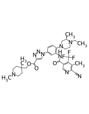 CCN1CCN(c2ccc(-n3cc(C(=O)OCC4(C)CCN(C)CC4)nn3)cc2NC(=O)c2cnc(C#N)c(C)c2C(F)(F)F)C[C@H]1C